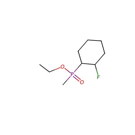 CCOP(C)(=O)C1CCCCC1F